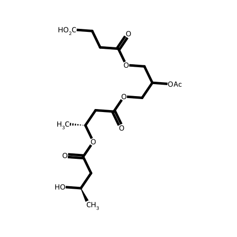 CC(=O)OC(COC(=O)CCC(=O)O)COC(=O)C[C@@H](C)OC(=O)C[C@@H](C)O